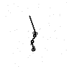 CCCCCCCCCCCCCCCCS(=O)(=O)c1ccc(C=Cc2ccc(N(C)CCOC3CCCCO3)cc2)cc1